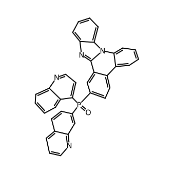 O=P(c1ccc2cccnc2c1)(c1ccc2c3ccccc3n3c4ccccc4nc3c2c1)c1ccnc2ccccc12